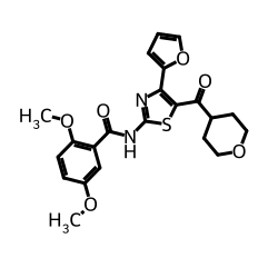 COc1ccc(OC)c(C(=O)Nc2nc(-c3ccco3)c(C(=O)C3CCOCC3)s2)c1